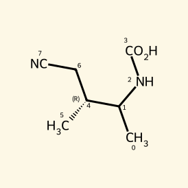 CC(NC(=O)O)[C@H](C)CC#N